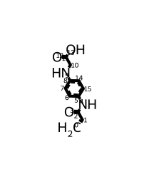 C=CC(=O)Nc1ccc(NCC(=O)O)cc1